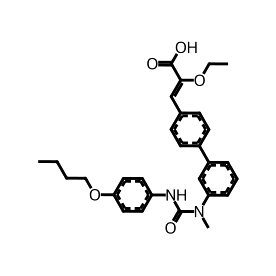 CCCCOc1ccc(NC(=O)N(C)c2cccc(-c3ccc(/C=C(\OCC)C(=O)O)cc3)c2)cc1